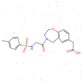 Cc1ccc(S(=O)(=O)NCC(=O)N2CCOc3ccc(CC(=O)O)cc3C2)cc1